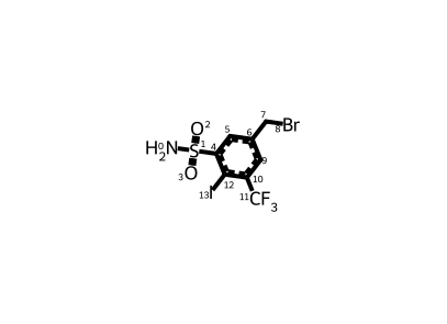 NS(=O)(=O)c1cc(CBr)cc(C(F)(F)F)c1I